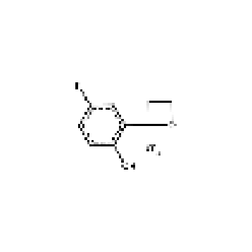 Oc1ccc(F)cc1C1(C(F)(F)F)CCO1